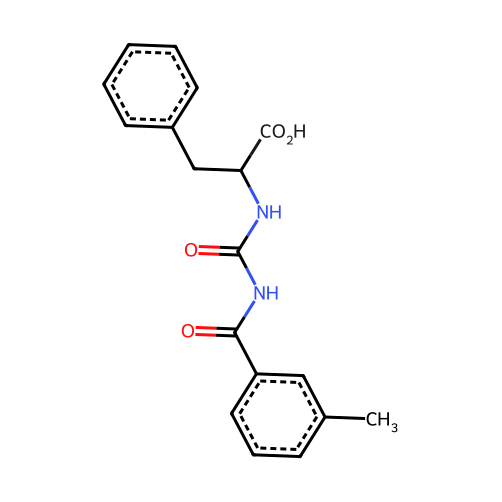 Cc1cccc(C(=O)NC(=O)NC(Cc2ccccc2)C(=O)O)c1